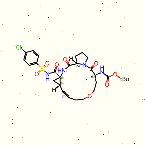 CC(C)(C)OC(=O)N[C@H]1CCOCC/C=C\[C@@H]2C[C@@]2(C(=O)NS(=O)(=O)c2ccc(Cl)cc2)NC(=O)[C@@H]2CCCN2C1=O